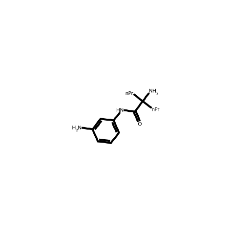 CCCC(N)(CCC)C(=O)Nc1cccc(N)c1